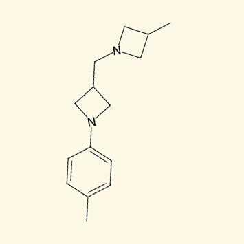 Cc1ccc(N2CC(CN3CC(C)C3)C2)cc1